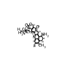 CC[C@@]1(OC(C)(C)C)C(=O)OCc2c1cc1n(c2=O)Cc2c-1nc1cc(F)c(C)c3c1c2[C@@H](N)CC3